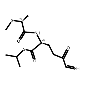 CS[C@@H](C)C(=O)N[C@@H](CCC(=O)C=N)C(=O)SC(C)C